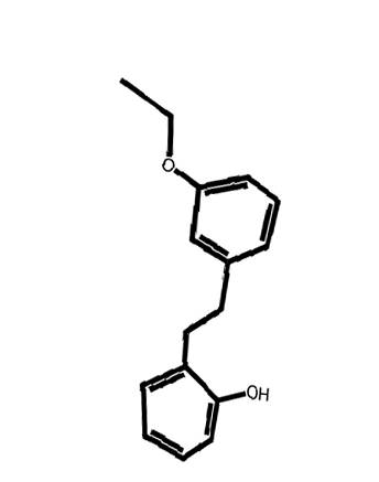 CCOc1cccc(CCc2ccccc2O)c1